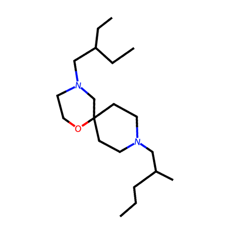 CCCC(C)CN1CCC2(CC1)CN(CC(CC)CC)CCO2